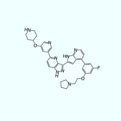 Fc1cc(OCCN2CCCC2)cc(-c2ccnc3[nH]c(-c4n[nH]c5ccc(-c6cncc(OC7CCNCC7)c6)nc45)cc23)c1